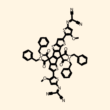 COc1cc(N=C(C#N)C#N)sc1-c1cc2c(s1)C1=C(c3sc4cc(-c5sc(N=C(C#N)C#N)cc5OC)sc4c3C1(C(=O)OCc1ccccc1)C(=O)OCc1ccccc1)C2(C(=O)OCc1ccccc1)C(=O)OCc1ccccc1